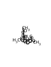 CCC(=O)OCOC(=O)O[C@@H]1C[C@@H]2c3cc(OC)c(OC)cc3CCN2C[C@H]1CC(C)C